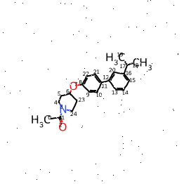 CC(=O)N1CCC(Oc2ccc(-c3cccc(C(C)C)c3)cc2)CC1